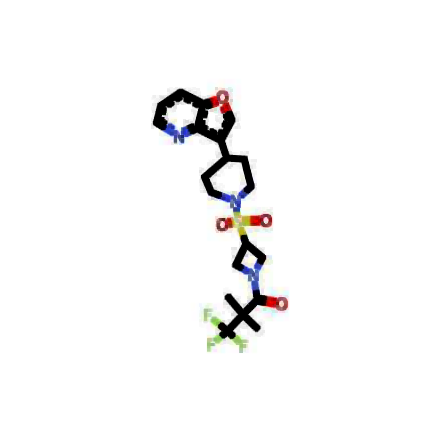 CC(C)(C(=O)N1CC(S(=O)(=O)N2CCC(c3coc4cccnc34)CC2)C1)C(F)(F)F